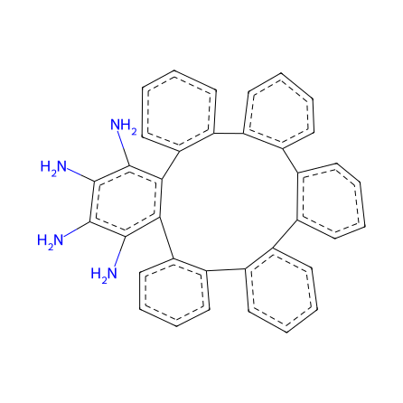 Nc1c(N)c(N)c2c(c1N)-c1ccccc1-c1ccccc1-c1ccccc1-c1ccccc1-c1ccccc1-2